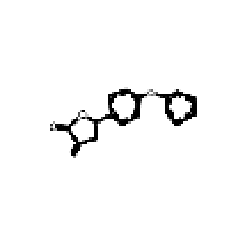 C=C1CC(c2ccc(Oc3ccccc3)cc2)OC1=O